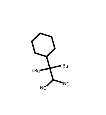 [C-]#[N+]C(C#N)C(CCCC)(CCCC)C1CCCCC1